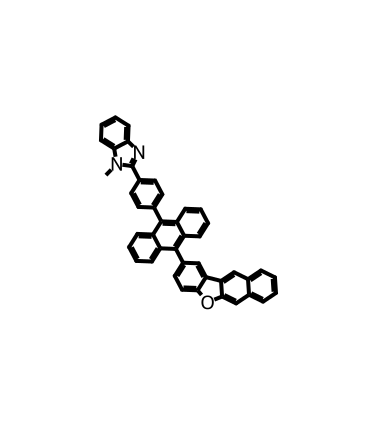 Cn1c(-c2ccc(-c3c4ccccc4c(-c4ccc5oc6cc7ccccc7cc6c5c4)c4ccccc34)cc2)nc2ccccc21